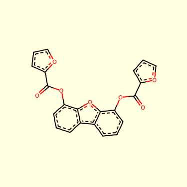 O=C(Oc1cccc2c1oc1c(OC(=O)c3ccco3)cccc12)c1ccco1